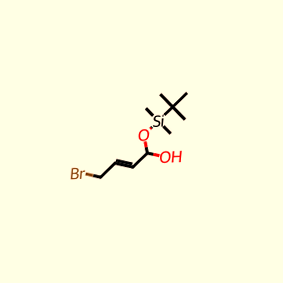 CC(C)(C)[Si](C)(C)OC(O)/C=C/CBr